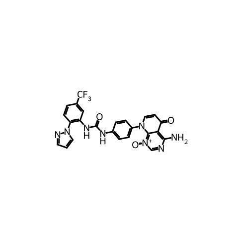 Nc1nc[n+]([O-])c2c1c(=O)ccn2-c1ccc(NC(=O)Nc2cc(C(F)(F)F)ccc2-n2cccn2)cc1